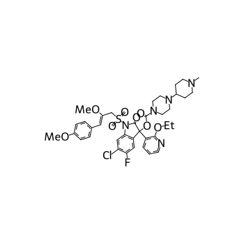 CCOc1ncccc1C1(OC(=O)N2CCN(C3CCN(C)CC3)CC2)C(=O)N(S(=O)(=O)CC(=Cc2ccc(OC)cc2)OC)c2cc(Cl)c(F)cc21